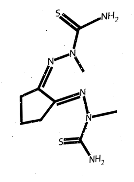 CN(N=C1CCCC1=NN(C)C(N)=S)C(N)=S